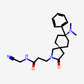 CN(C)[C@]1(c2ccccc2)CC[C@@]2(CC1)CC(=O)N(CCC(=O)NCC#N)C2